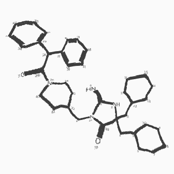 N=C1NC(CC2CCCCC2)(CC2CCCCC2)C(=O)N1CC1CCN(C(=O)C(c2ccccc2)c2ccccc2)CC1